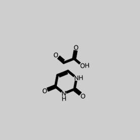 O=CC(=O)O.O=c1cc[nH]c(=O)[nH]1